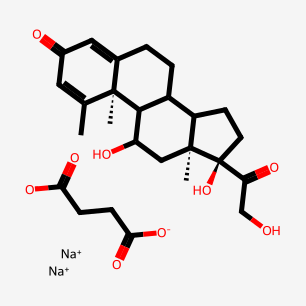 CC1=CC(=O)C=C2CCC3C(C(O)C[C@@]4(C)C3CC[C@]4(O)C(=O)CO)[C@@]12C.O=C([O-])CCC(=O)[O-].[Na+].[Na+]